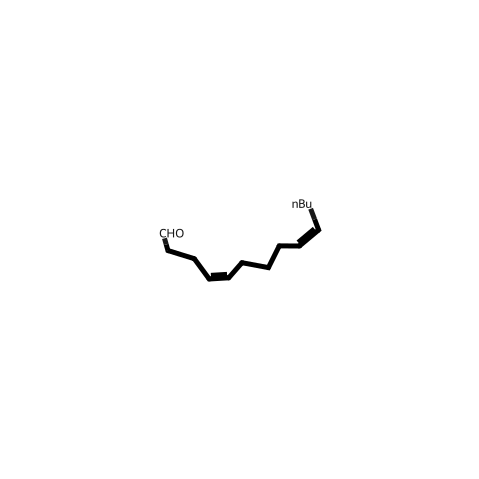 CCCC/C=C\CCC/C=C\CCC=O